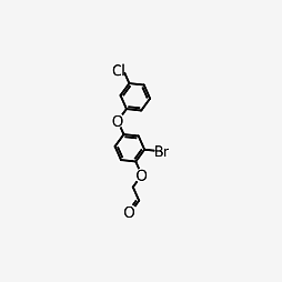 O=CCOc1ccc(Oc2cccc(Cl)c2)cc1Br